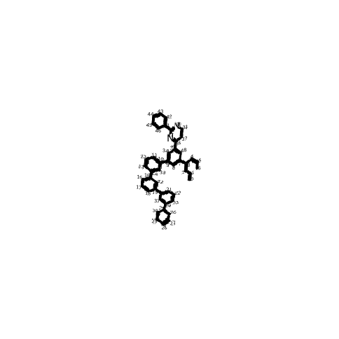 C=C/C=C(\C=C/C)c1cc(-c2cccc(-c3cccc(-c4cccc(-c5ccccc5)c4)c3)c2)cc(-c2ccnc(-c3ccccc3)n2)c1